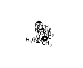 Cc1cc(C)c(N2CCN(C)C2=O)cc1NC(=O)N[C@@H](C)c1ncnn1-c1ncccn1